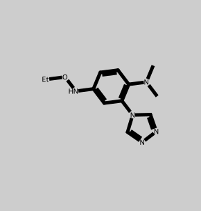 CCONc1ccc(N(C)C)c(-n2cnnc2)c1